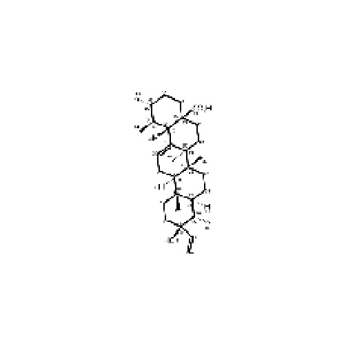 C=C[C@]1(O)CC[C@]2(C)[C@H]3CC=C4[C@@H]5[C@@H](C)[C@H](C)CC[C@]5(C(=O)O)CC[C@@]4(C)[C@]3(C)CC[C@H]2[C@@H]1C